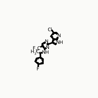 C[C@H](Nc1nc(-c2c[nH]c3ncc(Cl)cc23)ncc1C(F)(F)F)c1ccc(F)cc1